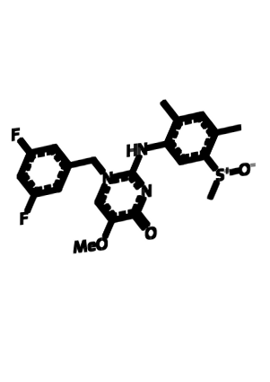 COc1cn(Cc2cc(F)cc(F)c2)c(Nc2cc([S+](C)[O-])c(C)cc2C)nc1=O